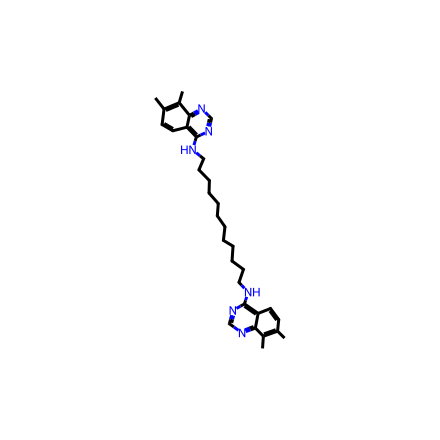 Cc1ccc2c(NCCCCCCCCCCCCNc3ncnc4c(C)c(C)ccc34)ncnc2c1C